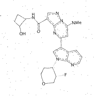 CNc1cc(-c2cn([C@H]3CCOC[C@H]3F)c3ncccc23)nc2c(C(=O)NC3CCC3O)cnn12